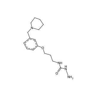 NNC(=O)NCCCOc1cccc(CN2CCCCC2)c1